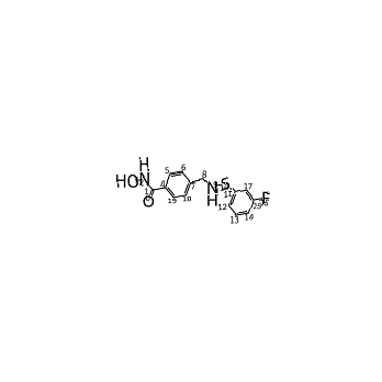 O=C(NO)c1ccc(CNSc2cccc(F)c2)cc1